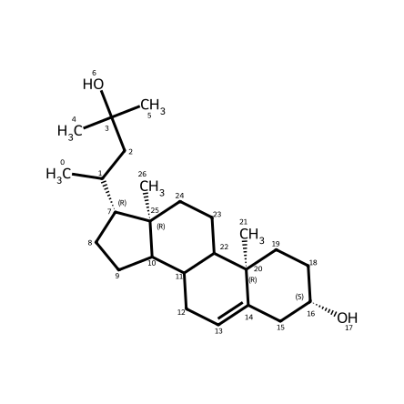 CC(CC(C)(C)O)[C@H]1CCC2C3CC=C4C[C@@H](O)CC[C@]4(C)C3CC[C@@]21C